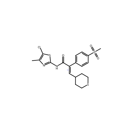 Cc1nc(NC(=O)/C(=C/C2CCSCC2)c2ccc(S(C)(=O)=O)cc2)sc1Cl